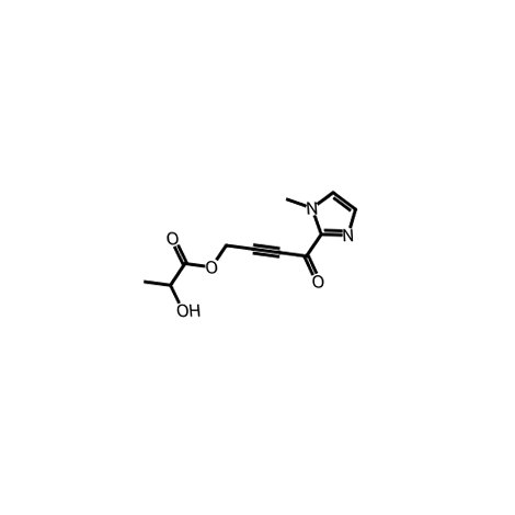 CC(O)C(=O)OCC#CC(=O)c1nccn1C